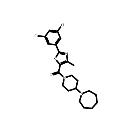 Cc1nc(-c2cc(Cl)cc(Cl)c2)sc1C(=O)N1CCC(N2CCCCCC2)CC1